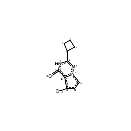 O=c1[nH]c(C2CCC2)nn2ccc(Cl)c12